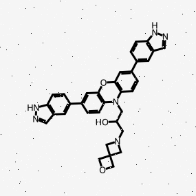 OC(CN1CC2(COC2)C1)CN1c2ccc(-c3ccc4[nH]ncc4c3)cc2Oc2cc(-c3ccc4[nH]ncc4c3)ccc21